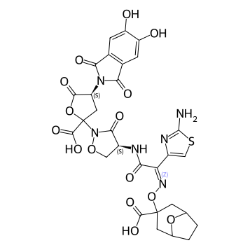 Nc1nc(/C(=N/OC2(C(=O)O)CC3CCC(C2)O3)C(=O)N[C@H]2CON(C3(C(=O)O)C[C@H](N4C(=O)c5cc(O)c(O)cc5C4=O)C(=O)O3)C2=O)cs1